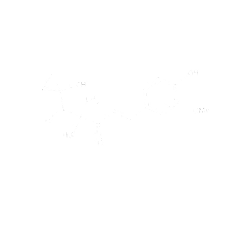 COc1cc(C=CC(=O)C(C)(C)C(=O)C2(C)CC2)ccc1O